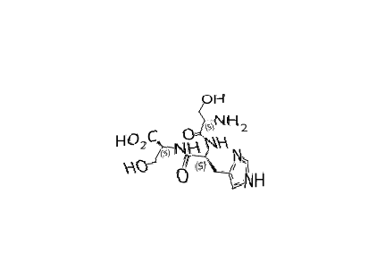 N[C@@H](CO)C(=O)N[C@@H](Cc1c[nH]cn1)C(=O)N[C@@H](CO)C(=O)O